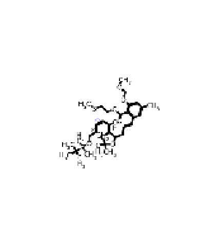 COCOc1cc(C)cc(/C=C/CC2OC(C)(C)OC2C(O)/C=C\[C@@H](C)CO[Si](C)(C)C(C)(C)C)c1C(=O)OCCSC